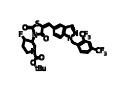 CC(C)(C)OC(=O)N1CCC(F)C(N2C(=O)S/C(=C/c3ccc4c(cnn4Cc4ccc(C(F)(F)F)cc4C(F)(F)F)c3)C2=O)C1